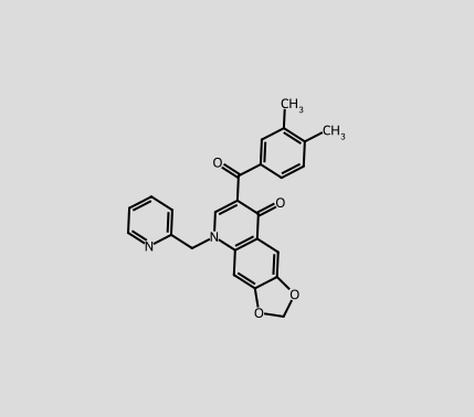 Cc1ccc(C(=O)c2cn(Cc3ccccn3)c3cc4c(cc3c2=O)OCO4)cc1C